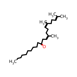 CCCCCCCCCCC(=O)CC=C(C)CCC=C(C)CCC=C(C)C